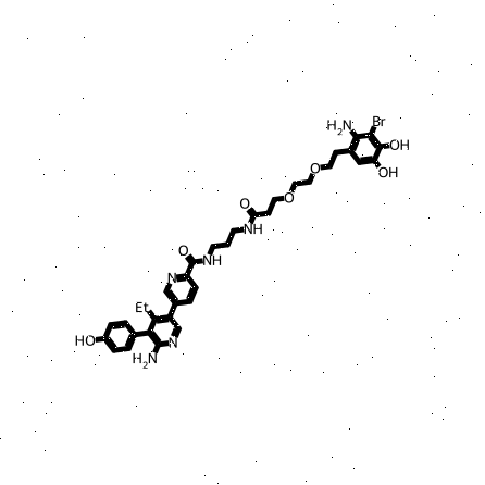 CCc1c(-c2ccc(C(=O)NCCCNC(=O)CCOCCOCCc3cc(O)c(O)c(Br)c3N)nc2)cnc(N)c1-c1ccc(O)cc1